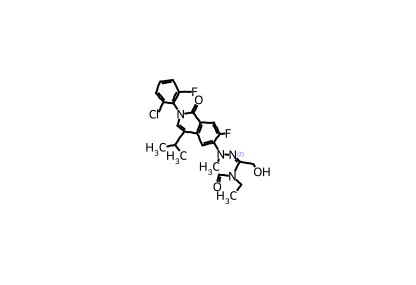 CCN(C=O)/C(CO)=N\N(C)c1cc2c(C(C)C)cn(-c3c(F)cccc3Cl)c(=O)c2cc1F